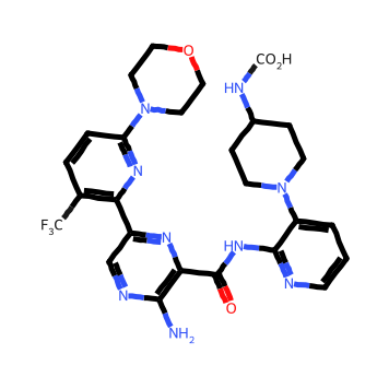 Nc1ncc(-c2nc(N3CCOCC3)ccc2C(F)(F)F)nc1C(=O)Nc1ncccc1N1CCC(NC(=O)O)CC1